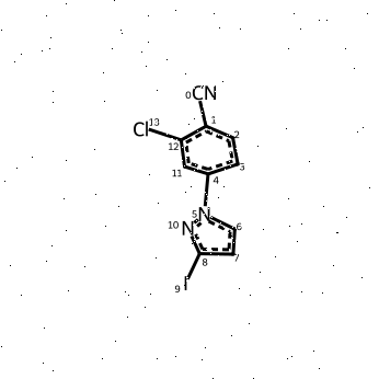 N#Cc1ccc(-n2ccc(I)n2)cc1Cl